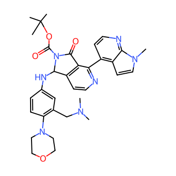 CN(C)Cc1cc(NC2c3ccnc(-c4ccnc5c4ccn5C)c3C(=O)N2C(=O)OC(C)(C)C)ccc1N1CCOCC1